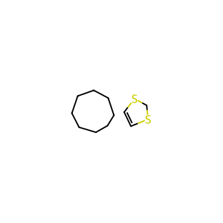 C1=CSCS1.C1CCCCCCC1